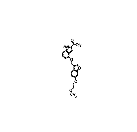 COCCOc1ccc2c(COc3cccc4[nH]c(C(=O)O)cc34)coc2c1